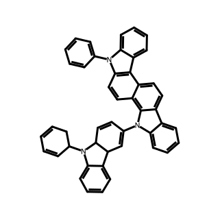 C1=CCC(N2c3ccccc3C3C=C(n4c5ccccc5c5ccc6c(ccc7c6c6ccccc6n7-c6ccccc6)c54)C=CC32)C=C1